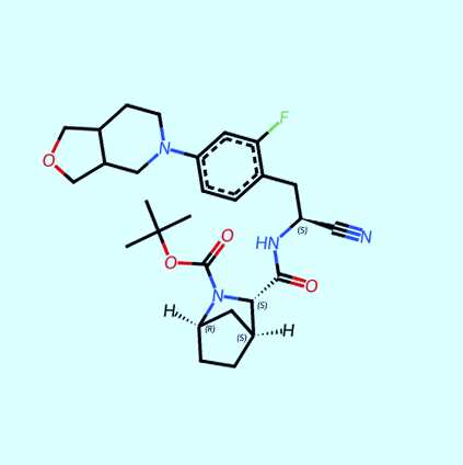 CC(C)(C)OC(=O)N1[C@@H]2CC[C@@H](C2)[C@H]1C(=O)N[C@H](C#N)Cc1ccc(N2CCC3COCC3C2)cc1F